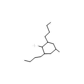 CCCCC1CC(C)CC(CCCC)C1O